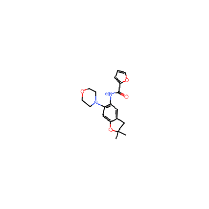 CC1(C)Cc2cc(NC(=O)c3ccco3)c(N3CCOCC3)cc2O1